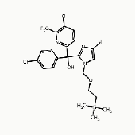 C[Si](C)(C)CCOCn1cc(I)nc1C(O)(c1ccc(Cl)cc1)c1ccc(Cl)c(C(F)(F)F)n1